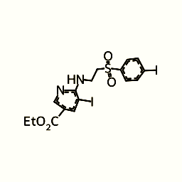 CCOC(=O)c1cnc(NCCS(=O)(=O)c2ccc(I)cc2)c(I)c1